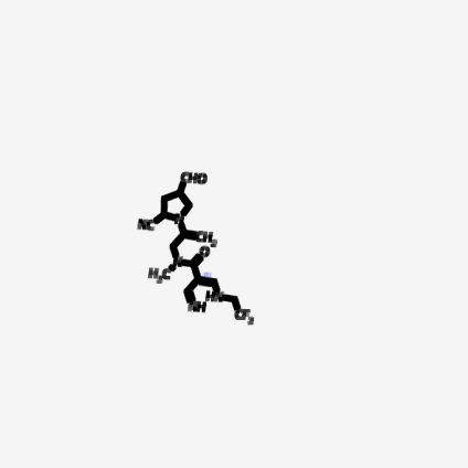 C=C(CN(C)C(=O)/C(C=N)=C/NCC(F)(F)F)N1CC(C=O)CC1C#N